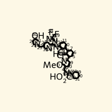 COc1nc(-c2cccc(-c3cccc(Nc4nc(C(F)F)nc5cc(CN6CC[C@@H](O)C6)cnc45)c3Cl)c2Cl)ccc1CN(C)CC1(C(=O)O)CCCCC1